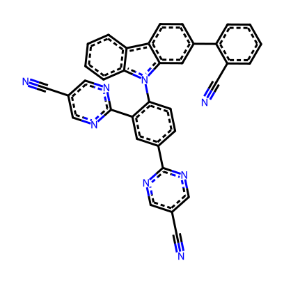 N#Cc1cnc(-c2ccc(-n3c4ccccc4c4ccc(-c5ccccc5C#N)cc43)c(-c3ncc(C#N)cn3)c2)nc1